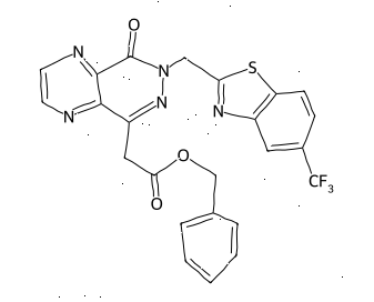 O=C(Cc1nn(Cc2nc3cc(C(F)(F)F)ccc3s2)c(=O)c2nccnc12)OCc1ccccc1